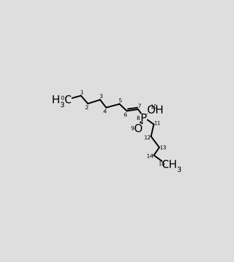 CCCCCCC=CP(=O)(O)CCCCC